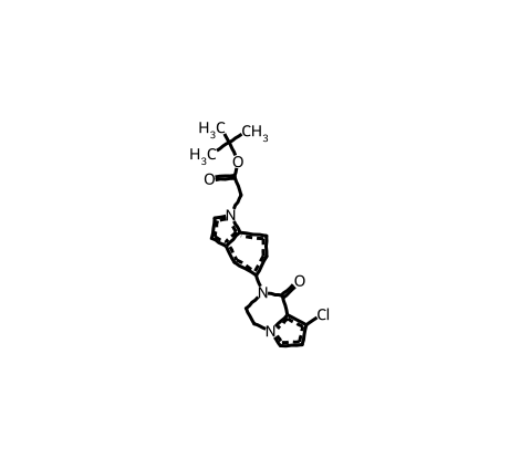 CC(C)(C)OC(=O)Cn1ccc2cc(N3CCn4ccc(Cl)c4C3=O)ccc21